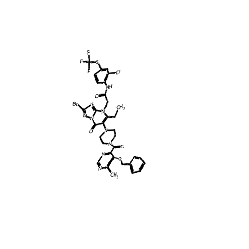 CCc1c(N2CCN(C(=O)c3ncnc(C)c3OCc3ccccc3)CC2)c(=O)n2nc(Br)nc2n1CC(=O)Nc1ccc(SC(F)(F)F)cc1Cl